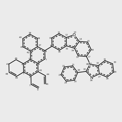 C=Cc1c2c(c3c(cc(-c4ccc5oc6ccc(-n7c(-c8ccccc8)nc8ccccc87)cc6c5c4)c4ccccc43)c1C=C)CCC=C2